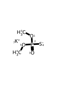 COP(=O)([S-])OC.[K+]